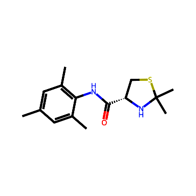 Cc1cc(C)c(NC(=O)[C@@H]2CSC(C)(C)N2)c(C)c1